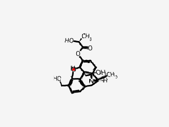 C[C@H](O)C(=O)OC1=CC[C@@]2(O)[C@H]3Cc4ccc(CO)c5c4[C@@]2(CCN3C)[C@H]1O5